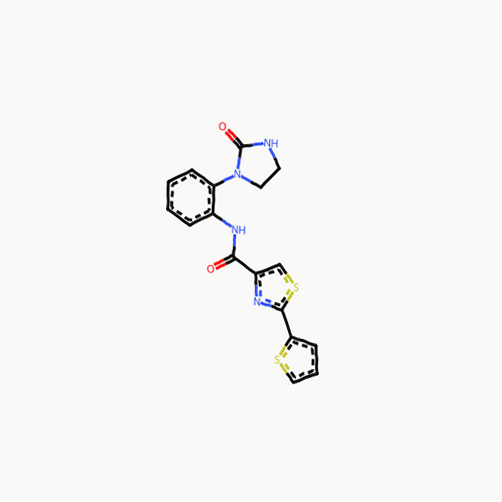 O=C(Nc1ccccc1N1CCNC1=O)c1csc(-c2cccs2)n1